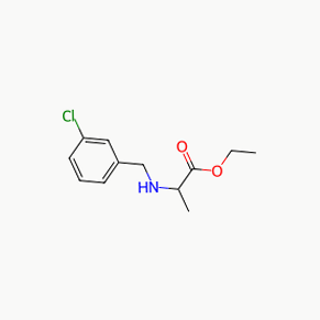 CCOC(=O)C(C)NCc1cccc(Cl)c1